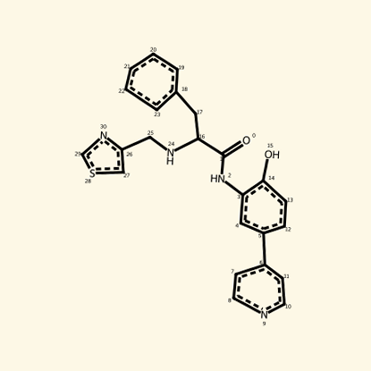 O=C(Nc1cc(-c2ccncc2)ccc1O)C(Cc1ccccc1)NCc1cscn1